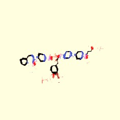 O=C(O)CCC(=O)N1CCC(N2CCN(C(=O)[C@@H](Cc3ccc(O)c(Br)c3)OC(=O)N3CCC(N4CCc5ccccc5NC4=O)CC3)CC2)CC1